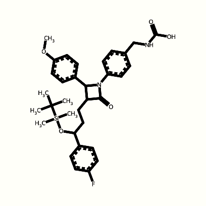 COc1ccc(C2C(CCC(O[Si](C)(C)C(C)(C)C)c3ccc(F)cc3)C(=O)N2c2ccc(CNC(=O)O)cc2)cc1